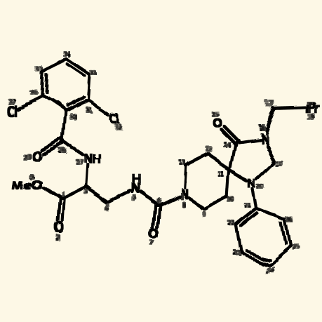 COC(=O)C(CNC(=O)N1CCC2(CC1)C(=O)N(CC(C)C)CN2c1ccccc1)NC(=O)c1c(Cl)cccc1Cl